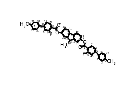 Cc1ccc(-c2ccc(C(=O)Oc3ccc4c(c3)C(C)c3cc(OC(=O)c5ccc(C6=CCC(C)C=C6)cc5F)ccc3-4)c(F)c2)cc1